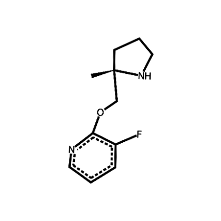 C[C@@]1(COc2ncccc2F)CCCN1